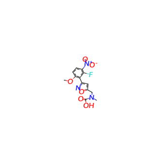 COc1ccc([N+](=O)[O-])c(F)c1-c1cc(CN(C)C(=O)O)on1